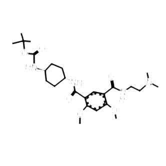 COc1cc(OC)c(C(=O)N[C@H]2CC[C@H](NC(=O)OC(C)(C)C)CC2)cc1C(=O)NCCN(C)C